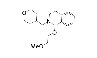 COCCOC1c2ccccc2CCN1CC1CCOCC1